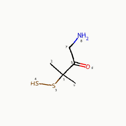 CC(C)(SS)C(=O)CN